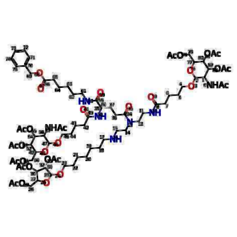 CC(=O)NC1C(OCCCCC(=O)NCCN(CCNCCCCCCCOC2OC(COC(C)=O)C(OC(C)=O)[C@@H]2OC(C)=O)C(=O)CC[C@H](NC(=O)CCCCOC2OC(COC(C)=O)C(OC(C)=O)C(OC(C)=O)C2NC(C)=O)C(=O)NCCCCCC(=O)OCc2ccccc2)OC(COC(C)=O)C(OC(C)=O)C1OC(C)=O